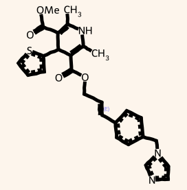 COC(=O)C1=C(C)NC(C)=C(C(=O)OC/C=C/c2ccc(Cn3ccnc3)cc2)C1c1cccs1